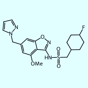 COc1cc(Cn2cccn2)cc2onc(NS(=O)(=O)CC3CCC(F)CC3)c12